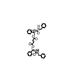 O=C(NCc1ccccc1)N[C@@H](COC(=O)/C=C/C(=O)OC[C@H](NC(=O)NCc1ccccc1)c1ccccc1)c1ccccc1